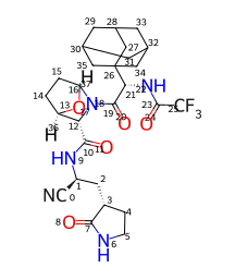 N#C[C@H](C[C@@H]1CCNC1=O)NC(=O)[C@@H]1[C@H]2CC[C@H](O2)N1C(=O)[C@@H](NC(=O)C(F)(F)F)C12CC3CC(CC(C3)C1)C2